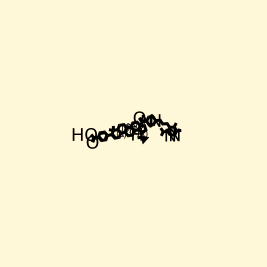 CC1=NN=C(C(C)C)C(CCCN2CCN(C(=O)[C@]34CC[C@@H](C5(C)CC5)C3[C@H]3CCC5[C@@]6(C)CC=C(c7ccc(C(=O)O)cc7)C(C)(C)C6CC[C@@]5(C)[C@]3(C)CC4)CC2)C1C